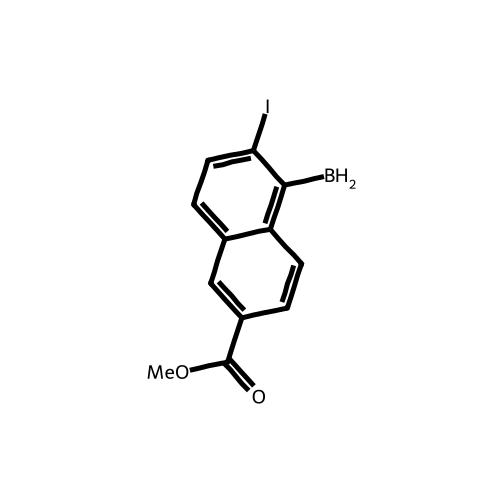 Bc1c(I)ccc2cc(C(=O)OC)ccc12